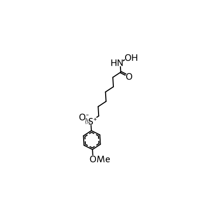 COc1ccc([S@+]([O-])CCCCCCC(=O)NO)cc1